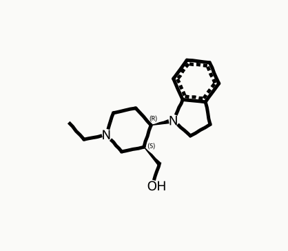 CCN1CC[C@@H](N2CCc3ccccc32)[C@@H](CO)C1